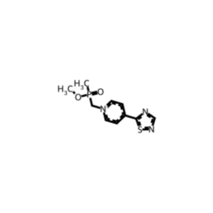 COP(C)(=O)C[n+]1ccc(-c2ncns2)cc1